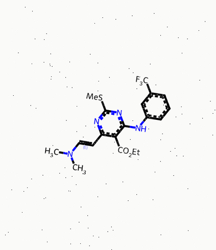 CCOC(=O)c1c(/C=C/N(C)C)nc(SC)nc1Nc1cccc(C(F)(F)F)c1